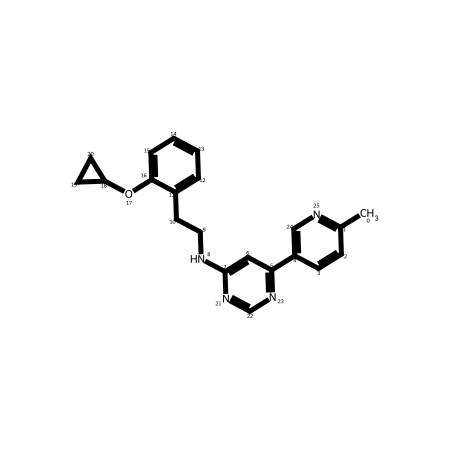 Cc1ccc(-c2cc(NCCc3ccccc3OC3CC3)ncn2)cn1